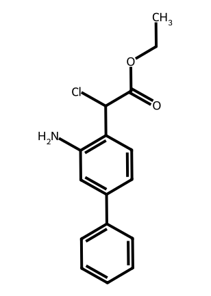 CCOC(=O)C(Cl)c1ccc(-c2ccccc2)cc1N